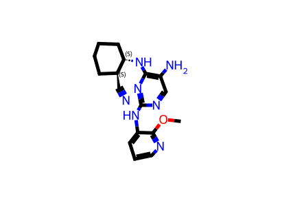 COc1ncccc1Nc1ncc(N)c(N[C@H]2CCCC[C@@H]2C#N)n1